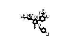 Cn1nc(C(F)(F)F)cc1-c1cc(F)c(OCc2ccc(Cl)cc2)c(-c2ccc(Cl)c(C(F)(F)F)c2)c1O